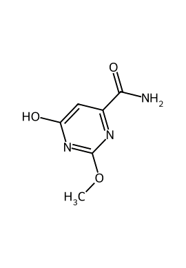 COc1nc(O)cc(C(N)=O)n1